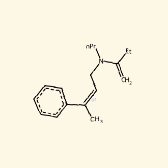 C=C(CC)N(C/C=C(/C)c1ccccc1)CCC